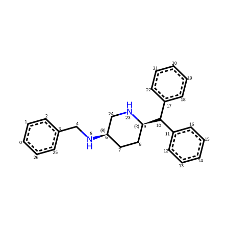 c1ccc(CN[C@@H]2CC[C@H](C(c3ccccc3)c3ccccc3)NC2)cc1